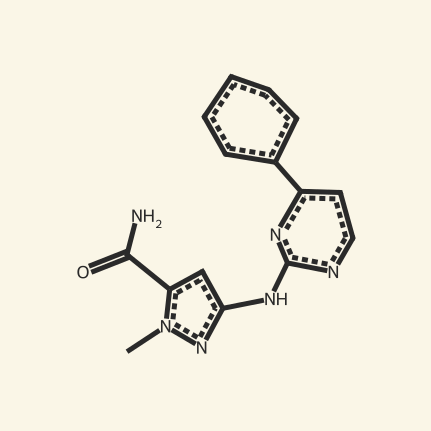 Cn1nc(Nc2nccc(-c3ccccc3)n2)cc1C(N)=O